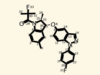 Cc1ccc2c(c1)[C@@H](Oc1ccc3c(cnn3-c3ccc(F)cc3)c1)[C@H](C)N2C(=O)C(C)(C)F